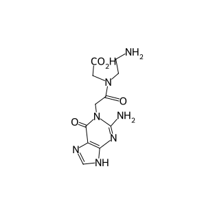 NCCN(CC(=O)O)C(=O)Cn1c(N)nc2[nH]cnc2c1=O